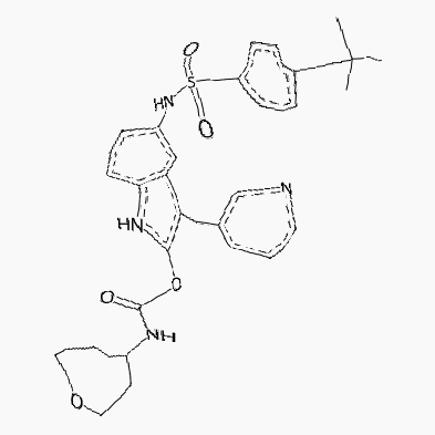 CC(C)(C)c1ccc(S(=O)(=O)Nc2ccc3[nH]c(OC(=O)NC4CCOCC4)c(-c4cccnc4)c3c2)cc1